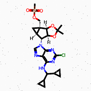 CC1(C)O[C@H]2[C@H](n3cnc4c(NC(C5CC5)C5CC5)nc(Cl)nc43)[C@H]3C[C@@]3(COS(C)(=O)=O)[C@H]2O1